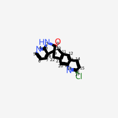 O=C1Nc2ncccc2[C@@]12Cc1cc3ccc(Cl)nc3cc1C2